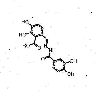 O=C(N/N=C/c1ccc(O)c(O)c1C(=O)O)c1ccc(O)c(O)c1